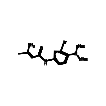 CCCCCCN(CCCCCC)c1ccc(NC(=O)/C=C(/C)N)cc1Br